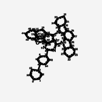 c1ccc(-c2ccc(-c3nc(-c4ccccc4)nc(-n4c5ccccc5c5ccc6c7ccccc7n(-c7ccc8oc9ccccc9c8c7)c6c54)n3)cc2)cc1